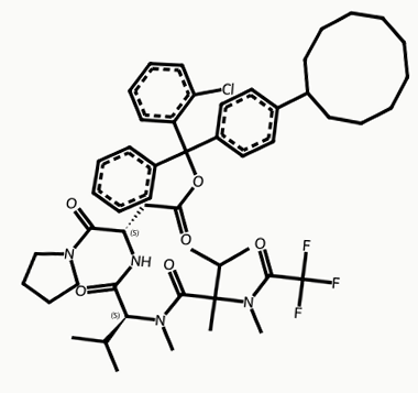 CC(C)[C@@H](C(=O)N[C@@H](CC(=O)OC(c1ccccc1)(c1ccc(C2CCCCCCCCC2)cc1)c1ccccc1Cl)C(=O)N1CCCC1)N(C)C(=O)C(C)(C(C)C)N(C)C(=O)C(F)(F)F